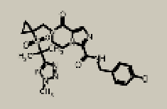 Cn1nnc(C(C)(C)S(=O)(=O)C2(CN3CCn4c(cnc4C(=O)NCc4ccc(Cl)cc4)C3=O)CC2)n1